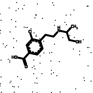 CC(CO)NCCc1ccc(C(=O)O)cc1Cl